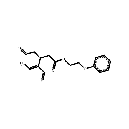 C/C=C(/C=O)[C@@H](CC=O)CC(=O)OCCOc1ccccc1